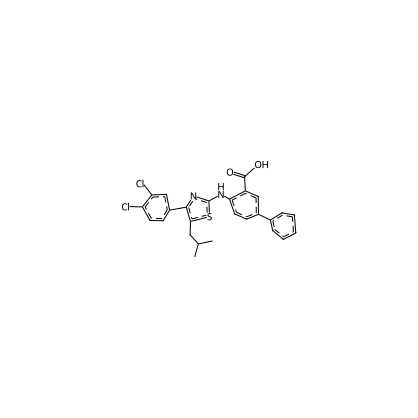 CC(C)Cc1sc(Nc2ccc(-c3ccccc3)cc2C(=O)O)nc1-c1ccc(Cl)c(Cl)c1